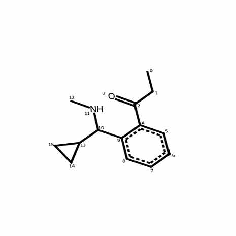 CCC(=O)c1ccccc1C(NC)C1CC1